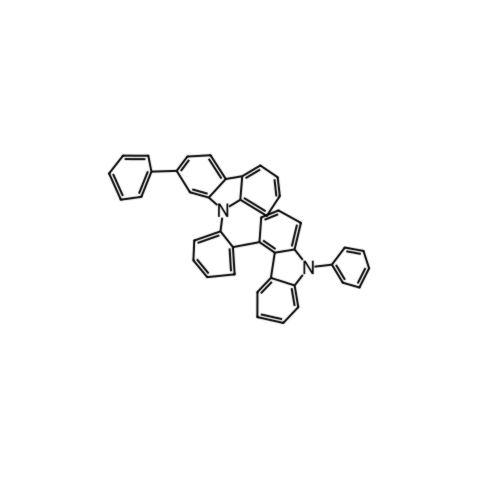 c1ccc(-c2ccc3c4ccccc4n(-c4ccccc4-c4cccc5c4c4ccccc4n5-c4ccccc4)c3c2)cc1